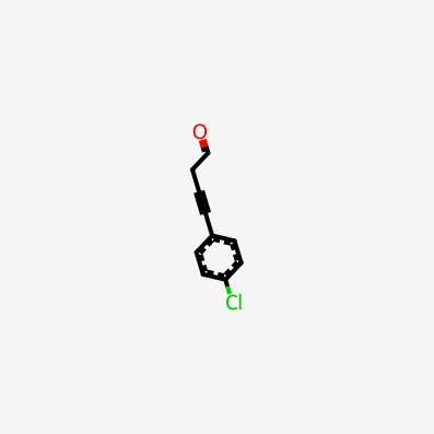 O=CCC#Cc1ccc(Cl)cc1